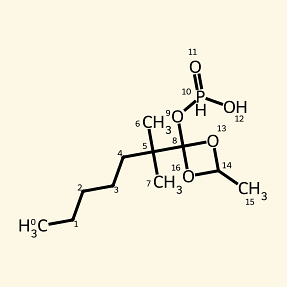 CCCCCC(C)(C)C1(O[PH](=O)O)OC(C)O1